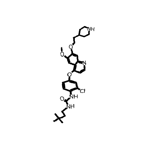 COc1cc2c(Oc3ccc(NC(=O)NCCC(C)(C)C)c(Cl)c3)ccnc2cc1OCCC1CCNCC1